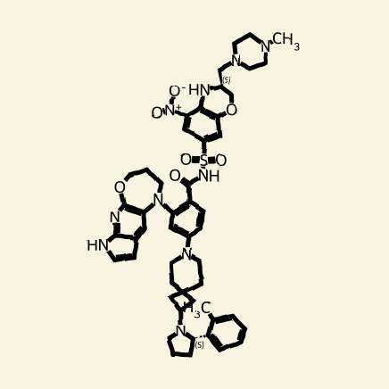 Cc1ccccc1[C@@H]1CCCN1C1CC2(CCN(c3ccc(C(=O)NS(=O)(=O)c4cc5c(c([N+](=O)[O-])c4)N[C@@H](CN4CCN(C)CC4)CO5)c(N4CCCOc5nc6[nH]ccc6cc54)c3)CC2)C1